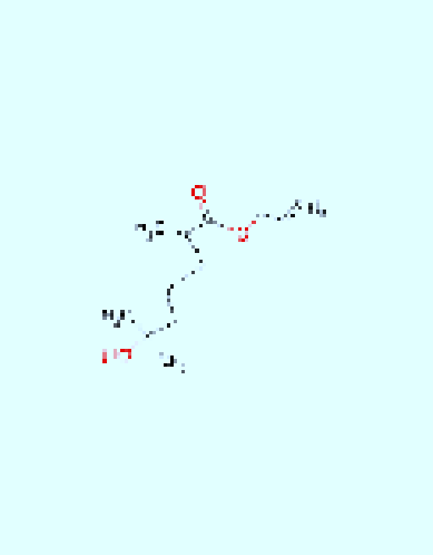 C=CCOC(=O)C(C)CCCC(C)(C)O